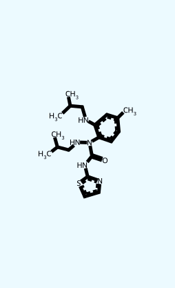 Cc1ccc(N(NCC(C)C)C(=O)Nc2nccs2)c(NCC(C)C)c1